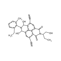 CCc1cccc(C)c1N1C(O)c2cc(C#N)c3c4c(cc(C#N)c(c24)C1O)C(=O)N(C(CC)CO)C3=O